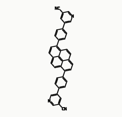 N#Cc1cncc(-c2ccc(-c3ccc4ccc5c(-c6ccc(-c7cncc(C#N)c7)cc6)ccc6ccc3c4c65)cc2)c1